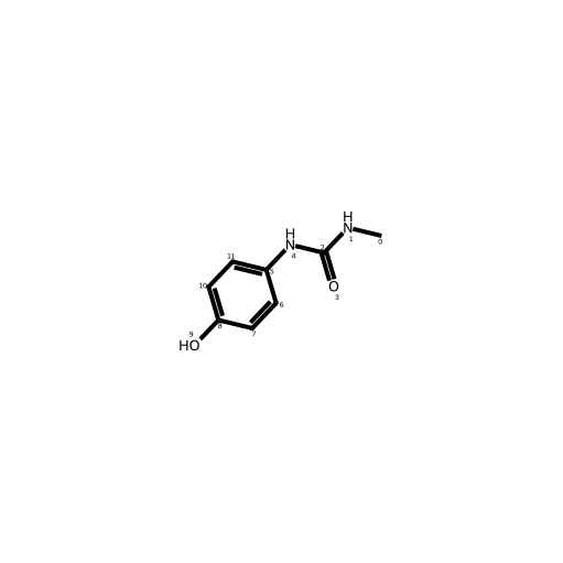 CNC(=O)Nc1ccc(O)cc1